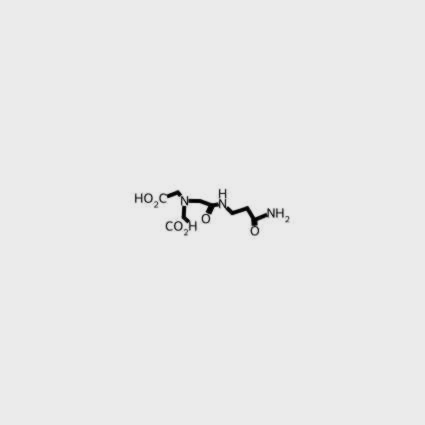 NC(=O)CCNC(=O)CN(CC(=O)O)CC(=O)O